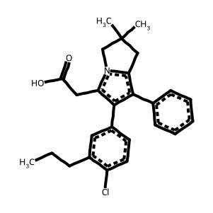 CCCc1cc(-c2c(-c3ccccc3)c3n(c2CC(=O)O)CC(C)(C)C3)ccc1Cl